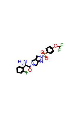 NC(C(=O)N1Cc2cn(S(=O)(=O)c3ccc(OC(F)F)cc3)nc2C1)c1ccccc1F